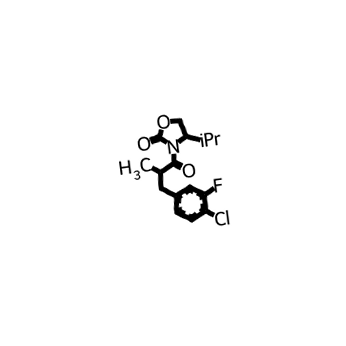 CC(Cc1ccc(Cl)c(F)c1)C(=O)N1C(=O)OCC1C(C)C